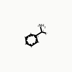 [CH2]C(N)c1ccccc1